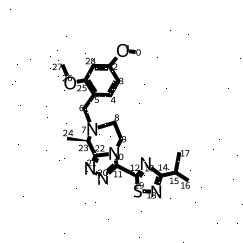 COc1ccc(CN2CCn3c(-c4nc(C(C)C)ns4)nnc3[C@H]2C)c(OC)c1